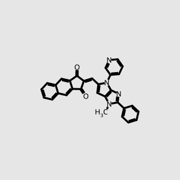 Cn1c(-c2ccccc2)nc2c1cc(C=C1C(=O)c3cc4ccccc4cc3C1=O)n2-c1cccnc1